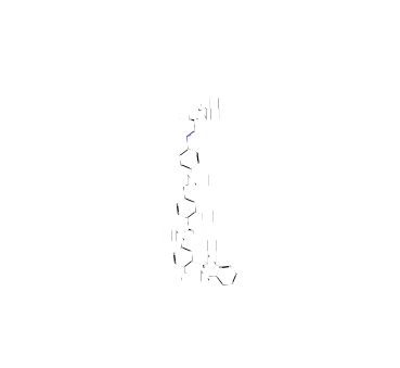 O=C(/C=C/c1ccc(NCc2ccc(C(=O)Nc3ccc(Cl)c(-c4nc5ccccc5[nH]4)c3)c(Cl)c2)cc1)NO